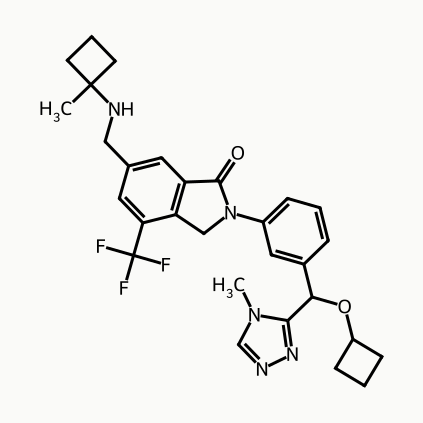 Cn1cnnc1C(OC1CCC1)c1cccc(N2Cc3c(cc(CNC4(C)CCC4)cc3C(F)(F)F)C2=O)c1